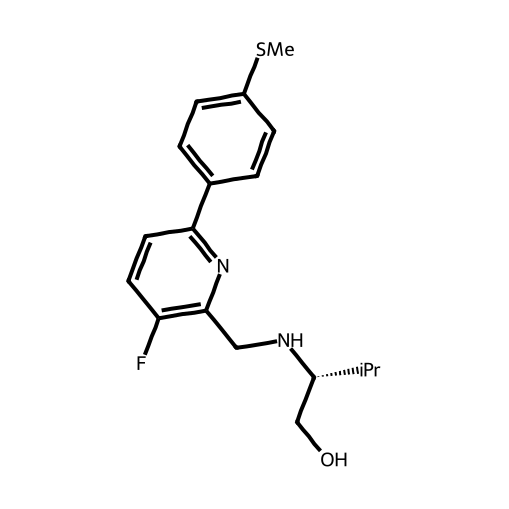 CSc1ccc(-c2ccc(F)c(CN[C@@H](CO)C(C)C)n2)cc1